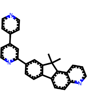 CC1(C)c2cc(-c3cc(-c4ccncc4)ccn3)ccc2-c2ccc3ncccc3c21